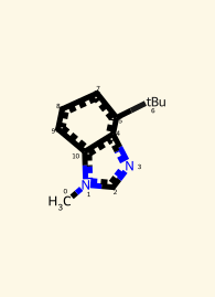 Cn1cnc2c(C(C)(C)C)cccc21